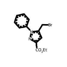 CCOC(=O)c1cc(CBr)n(-c2ccccc2)n1